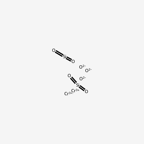 O=[Si]=O.O=[Si]=O.[Cr+3].[Cr+3].[O-2].[O-2].[O-2]